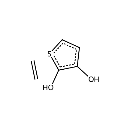 C=C.Oc1ccsc1O